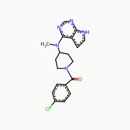 CN(c1ncnc2[nH]ccc12)C1CCN(C(=O)c2ccc(Cl)cc2)CC1